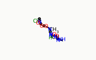 CN(CCCCOc1ccc(Oc2ccc(N(Cc3ccccc3)C(=O)CCl)cc2)cc1)C[C@H]1CC[C@H](n2cc(N(C)C(=O)c3coc(-c4ccnc(NCC5CC5)c4)n3)c(C(F)F)n2)CC1